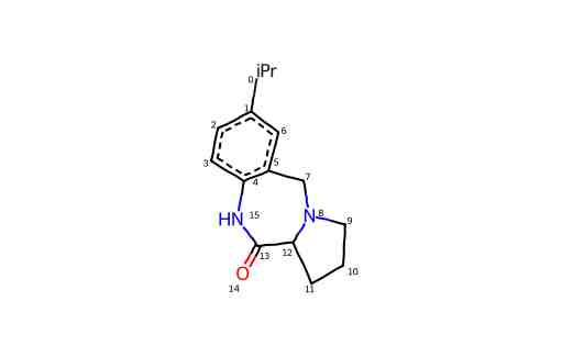 CC(C)c1ccc2c(c1)CN1CCCC1C(=O)N2